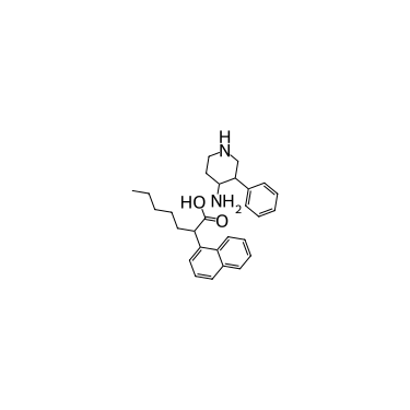 CCCCCC(C(=O)O)c1cccc2ccccc12.NC1CCNCC1c1ccccc1